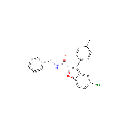 Cc1ccc(-c2c(C(=O)NCc3ccccc3)oc3ccc(Cl)cc23)cc1